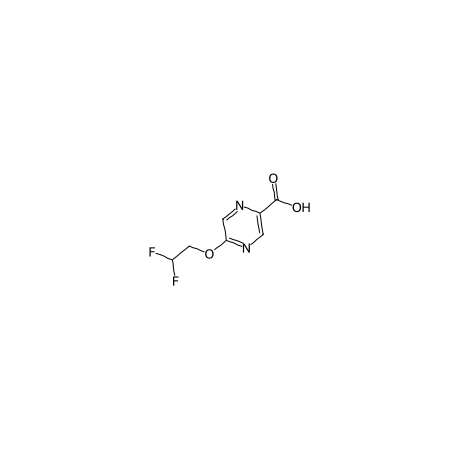 O=C(O)c1cnc(OCC(F)F)cn1